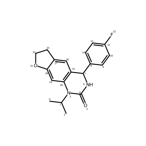 CC(C)N1C(=O)NC(c2ccc(F)cc2)c2cc3c(cc21)OCC3